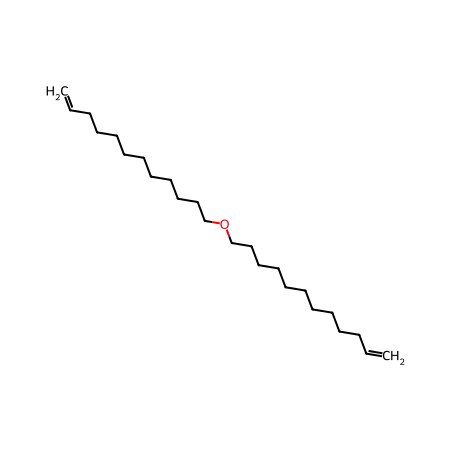 C=CCCCCCCCCCCOCCCCCCCCCCC=C